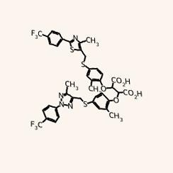 Cc1cc(SCc2nn(-c3ccc(C(F)(F)F)cc3)nc2C)ccc1OC(C(=O)O)C(Oc1ccc(SCc2sc(-c3ccc(C(F)(F)F)cc3)nc2C)cc1C)C(=O)O